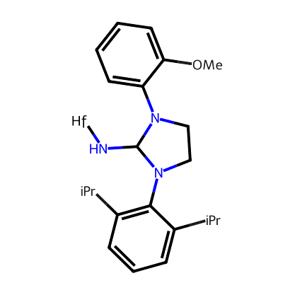 COc1ccccc1N1CCN(c2c(C(C)C)cccc2C(C)C)C1[NH][Hf]